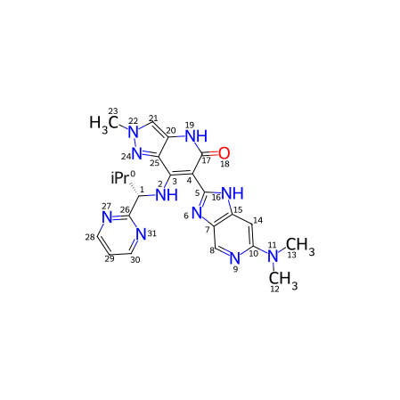 CC(C)[C@H](Nc1c(-c2nc3cnc(N(C)C)cc3[nH]2)c(=O)[nH]c2cn(C)nc12)c1ncccn1